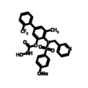 COc1ccc(S(=O)(=O)N(Cc2cccnc2)c2c(C)cc(-c3ccccc3C(F)(F)F)cc2OC(=O)NO)cc1